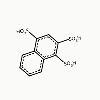 O=S(=O)(O)c1cc(S(=O)(=O)O)c2ccccc2c1S(=O)(=O)O